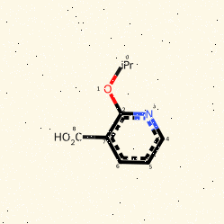 CC(C)Oc1ncccc1C(=O)O